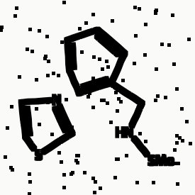 CSNCc1ccccc1.c1cscn1